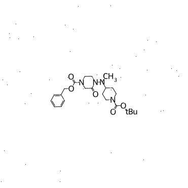 CN(C1CCN(C(=O)OC(C)(C)C)CC1)N1CCN(C(=O)OCc2ccccc2)CC1=O